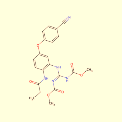 CCC(=O)Nc1ccc(Oc2ccc(C#N)cc2)cc1NC(=NC(=O)OC)NC(=O)OC